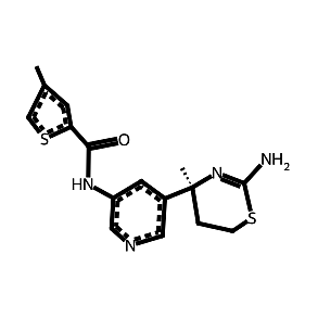 Cc1csc(C(=O)Nc2cncc([C@]3(C)CCSC(N)=N3)c2)c1